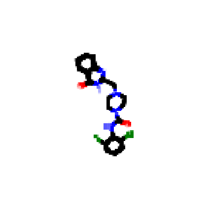 O=C(Nc1c(F)cccc1Cl)N1CCN(Cc2nc3ccccc3c(=O)[nH]2)CC1